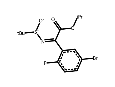 CC(C)OC(=O)C(=N[S+]([O-])C(C)(C)C)c1cc(Br)ccc1F